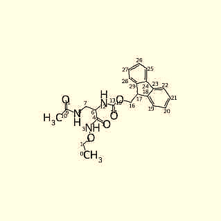 CCONC(=O)C(CNC(C)=O)NC(=O)OCC1c2ccccc2-c2ccccc21